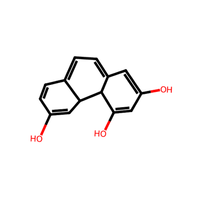 OC1=CC2=CC=C3C=CC(O)=CC3C2C(O)=C1